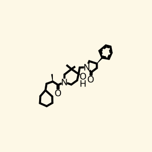 C[C@H](CC1CCCCC1)C(=O)N1CC[C@@](O)(CN2C[C@@H](c3ccccc3)CC2=O)C(C)(C)C1